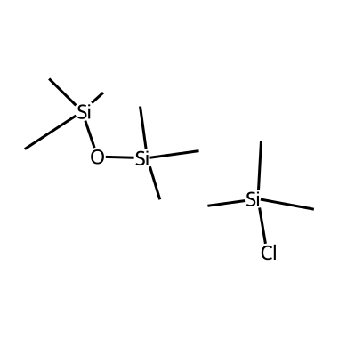 C[Si](C)(C)Cl.C[Si](C)(C)O[Si](C)(C)C